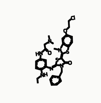 CCNc1ccc(NC(=O)CN(C)C)cc1N=C1SC(=C2Sc3ccc(OCCCl)cc3N2C)C(=O)N1Cc1ccccc1